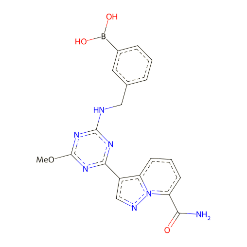 COc1nc(NCc2cccc(B(O)O)c2)nc(-c2cnn3c(C(N)=O)cccc23)n1